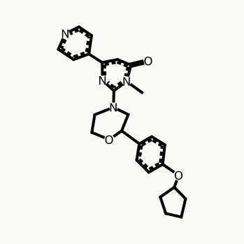 Cn1c(N2CCOC(c3ccc(OC4CCCC4)cc3)C2)nc(-c2ccncc2)cc1=O